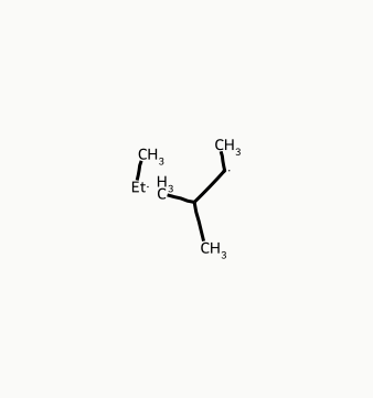 C[CH]C.C[CH]C(C)C